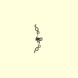 Cl.Cl.Fc1ccc(OCCCN2CCN(CCOc3ccc(F)cc3)CC2)cc1